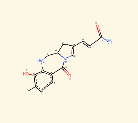 Cc1ccc2c(c1O)NCC1CC(C=CC(N)=O)=CN1C2=O